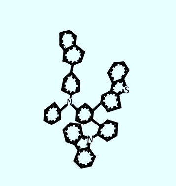 c1ccc(N(c2ccc(-c3ccc4ccccc4c3)cc2)c2ccc(-c3ccccc3-n3c4ccccc4c4ccccc43)c(-c3ccc4sc5ccccc5c4c3)c2)cc1